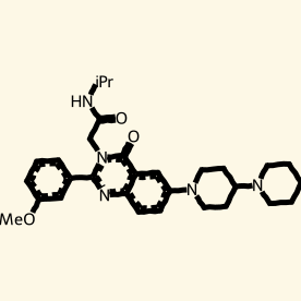 COc1cccc(-c2nc3ccc(N4CCC(N5CCCCC5)CC4)cc3c(=O)n2CC(=O)NC(C)C)c1